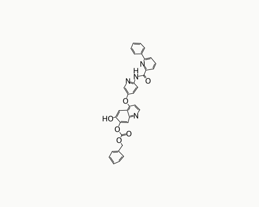 O=C(OCc1ccccc1)Oc1cc2nccc(Oc3ccc(NC(=O)c4cccc(-c5ccccc5)n4)nc3)c2cc1O